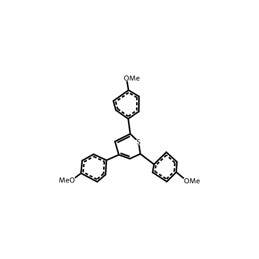 COc1ccc(C2=CC(c3ccc(OC)cc3)SC(c3ccc(OC)cc3)=C2)cc1